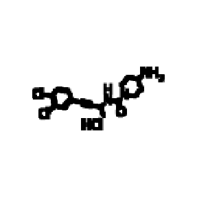 CC(C#Cc1ccc(Cl)c(Cl)c1)NC(=O)N1CCC(N)CC1.Cl